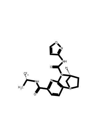 C[C@@H](NC(=O)c1ccc2c(n1)N(C(=O)Nc1ccon1)[C@H]1CCN2C1)C(F)(F)F